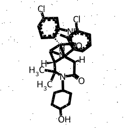 CC1(C)[C@@H]2C3N[C@@H](C(=O)N1C1CCC(O)CC1)C2(c1cccc(Cl)c1F)[C@]31C(=O)Nc2cc(Cl)ccc21